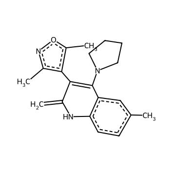 C=C1Nc2ccc(C)cc2C(N2CCCC2)=C1c1c(C)noc1C